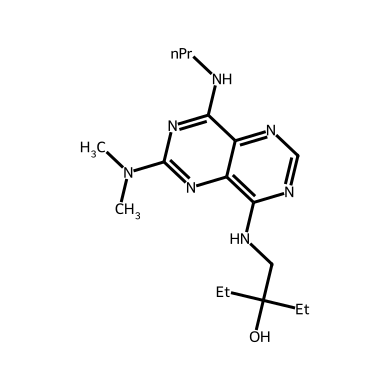 CCCNc1nc(N(C)C)nc2c(NCC(O)(CC)CC)ncnc12